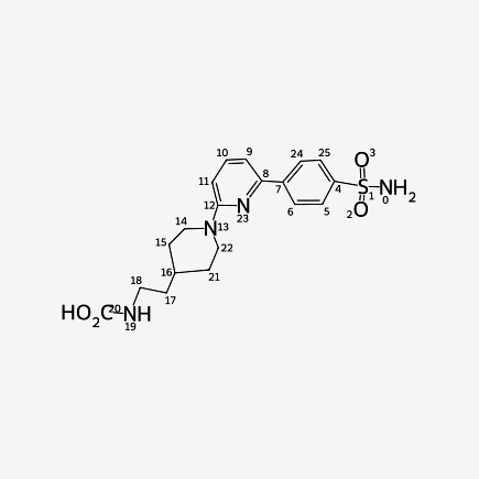 NS(=O)(=O)c1ccc(-c2cccc(N3CCC(CCNC(=O)O)CC3)n2)cc1